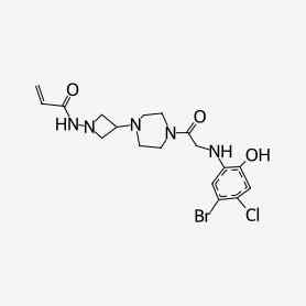 C=CC(=O)NN1CC(N2CCN(C(=O)CNc3cc(Br)c(Cl)cc3O)CC2)C1